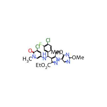 CCOC(=O)c1nn(-c2cnc(OC)nc2OC)c(C(C)C)c1C(Nc1cc(Cl)c(=O)n(C)c1)c1ccc(Cl)c(F)c1